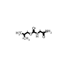 CC(C)COC(=O)NCC(N)=O